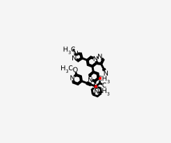 COc1cc(C#CC(C(C)C)N2C3CC2CN(c2ccc(-c4cc(-c5cnn(C)c5)cn5ncc(C#N)c45)cn2)C3)ccn1